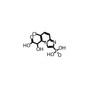 O=C(O)C(O)c1c(Cl)ccc2nc(P(=O)(O)O)cn12